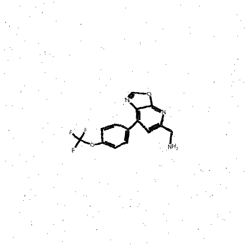 NCc1cc(-c2ccc(OC(F)(F)F)cc2)c2ncoc2n1